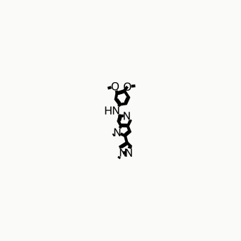 COc1ccc(Nc2cc3c(cn2)cc(-c2cnn(C)c2)n3C)cc1OC